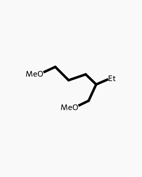 [CH2]CC(CCCOC)COC